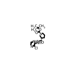 CC(C)(C)OC(=O)N1CCC[C@H](C(=O)NNc2nccnc2Cl)C1